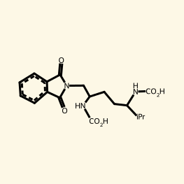 CC(C)C(CCC(CN1C(=O)c2ccccc2C1=O)NC(=O)O)NC(=O)O